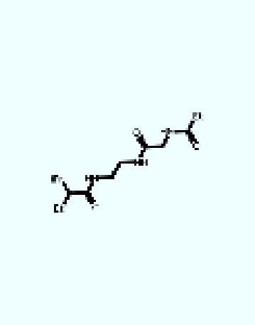 CCC(=O)NCC(=O)NCCNC(=O)C(CC)C(C)C